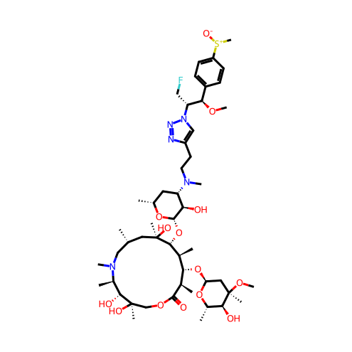 CO[C@H](c1ccc([S+](C)[O-])cc1)[C@@H](CF)n1cc(CCN(C)[C@H]2C[C@@H](C)O[C@@H](O[C@@H]3[C@@H](C)[C@H](O[C@H]4C[C@@](C)(OC)[C@@H](O)[C@H](C)O4)[C@@H](C)C(=O)OC[C@@](C)(O)[C@H](O)[C@@H](C)N(C)C[C@H](C)C[C@@]3(C)O)[C@@H]2O)nn1